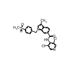 Cc1cn(Cc2ccc(S(C)(=O)=O)cc2)c2cc(C(=O)Nc3c(Cl)cncc3Cl)ccc12